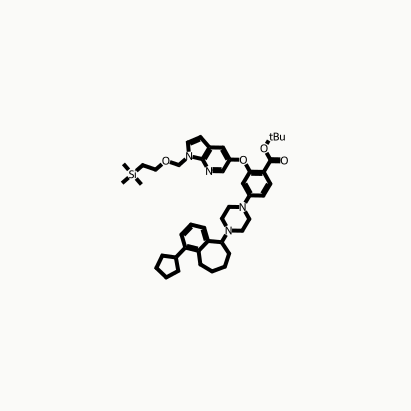 CC(C)(C)OC(=O)c1ccc(N2CCN(C3CCCCc4c(C5CCCC5)cccc43)CC2)cc1Oc1cnc2c(ccn2COCC[Si](C)(C)C)c1